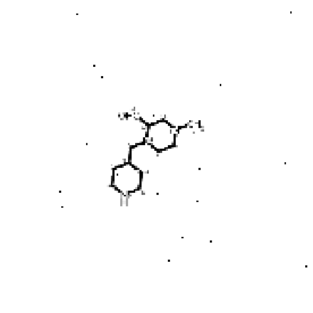 CN1CCN(CC2CCNCC2)C(C=O)C1